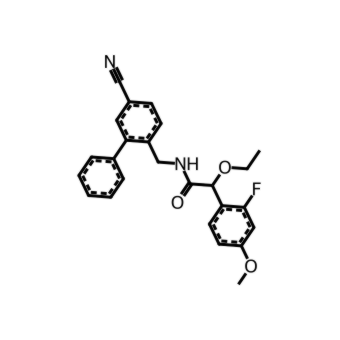 CCOC(C(=O)NCc1ccc(C#N)cc1-c1ccccc1)c1ccc(OC)cc1F